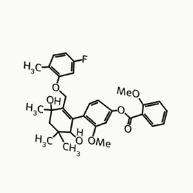 COc1ccccc1C(=O)Oc1ccc(C2=C(COc3cc(F)ccc3C)C(C)(O)CC(C)(C)C2O)c(OC)c1